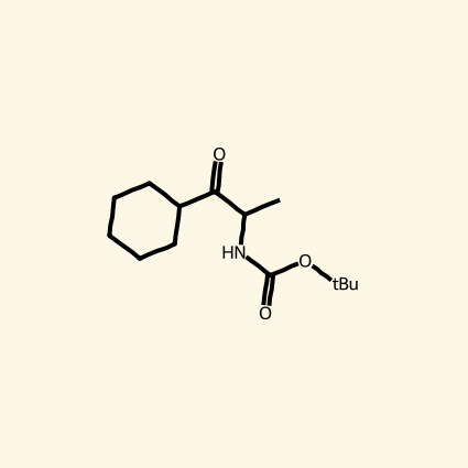 CC(NC(=O)OC(C)(C)C)C(=O)C1CCCCC1